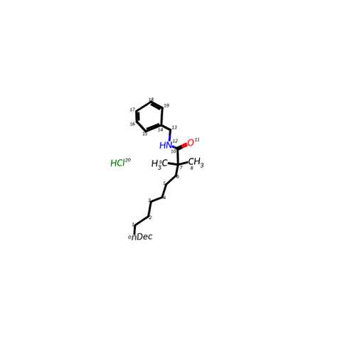 CCCCCCCCCCCCCCCCC(C)(C)C(=O)NCc1ccccc1.Cl